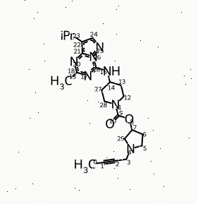 CC#CCN1CCC(OC(=O)N2CCC(Nc3nc(C)nc4c(C(C)C)cnn34)CC2)C1